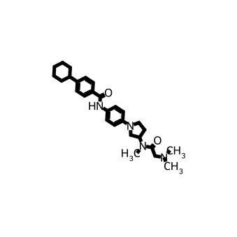 CN(C)CC(=O)N(C)C1CCN(c2ccc(NC(=O)c3ccc(C4CCCCC4)cc3)cc2)C1